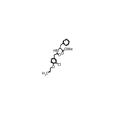 C=CCOc1ccc(CC(=O)N[C@@H](Cc2ccccc2)C(=O)OC)cc1Cl